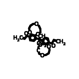 C=CC(=O)c1ccc(C(C)(C)c2ccc(C(=O)C=C)c3c2OCCCOCCCO3)c2c1OCCCOCCCO2